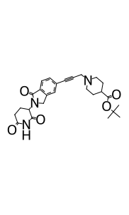 CC(C)(C)OC(=O)C1CCN(CC#Cc2ccc3c(c2)CN(C2CCC(=O)NC2=O)C3=O)CC1